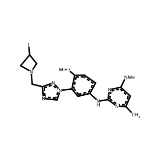 CNc1cc(C)nc(Nc2ccc(OC)c(-n3cnc(CN4CC(I)C4)n3)c2)n1